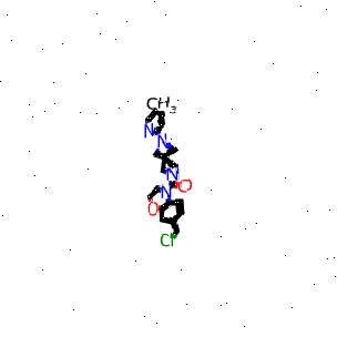 Cc1ccc(N2CC3(CN(C(=O)N4CCOc5cc(CCl)ccc54)C3)C2)nc1